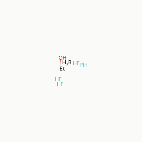 B.CCO.F.F.F.F